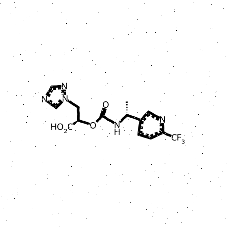 C[C@@H](NC(=O)O[C@H](Cn1cncn1)C(=O)O)c1ccc(C(F)(F)F)nc1